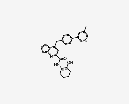 Cc1cncc(-c2ccc(Cc3cc(C(=O)N[C@H]4CCCC[C@@H]4O)nn4cccc34)cc2)c1